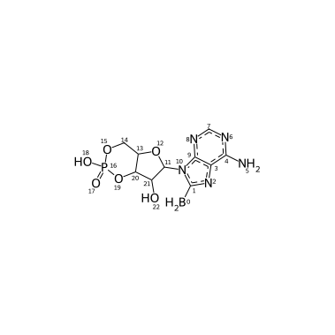 Bc1nc2c(N)ncnc2n1C1OC2COP(=O)(O)OC2C1O